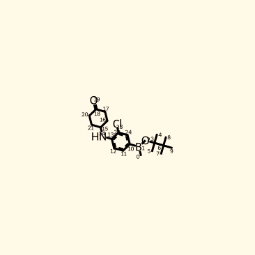 CB(OC(C)(C)C(C)(C)C)c1ccc(NC2CCC(=O)CC2)c(Cl)c1